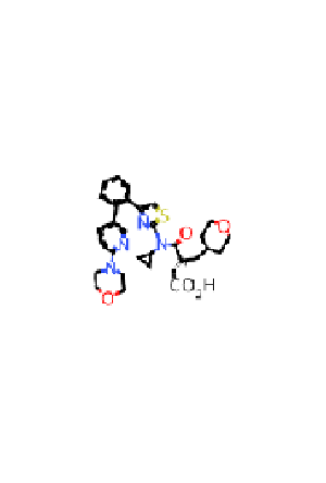 O=C(O)C[C@@H](CC1CCOCC1)C(=O)N(c1nc(-c2ccccc2-c2ccc(N3CCOCC3)nc2)cs1)C1CC1